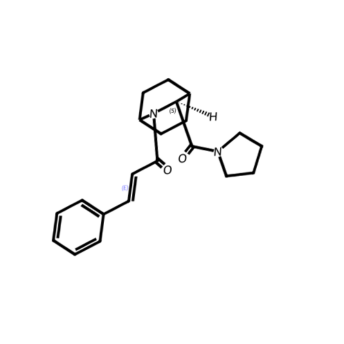 O=C([C@@H]1C2CCC(CC2)N1C(=O)/C=C/c1ccccc1)N1CCCC1